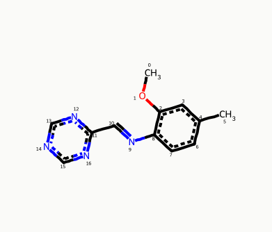 COc1cc(C)ccc1/N=C/c1ncncn1